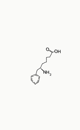 N[C@H](CCCCC(=O)O)Cc1ccccc1